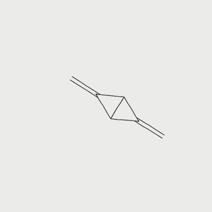 C=C1C2C(=C)C12